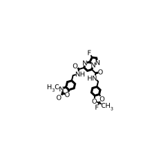 Cn1c(=O)oc2ccc(CNC(=O)c3cc(C(=O)NCc4ccc5c(c4)OC(C)(F)O5)n4ncc(F)c4n3)cc21